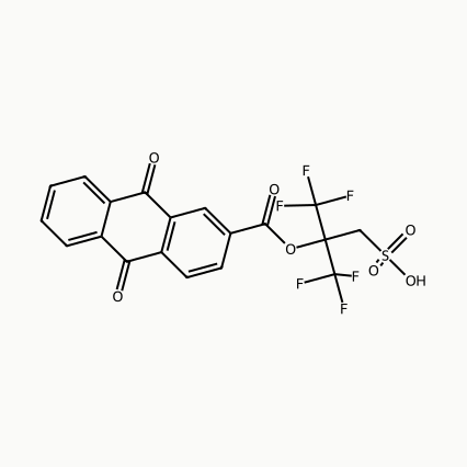 O=C(OC(CS(=O)(=O)O)(C(F)(F)F)C(F)(F)F)c1ccc2c(c1)C(=O)c1ccccc1C2=O